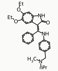 CCCN(C)Cc1ccc(N/C(=C2\C(=O)Nc3cc(OCC)c(OCC)cc32)c2ccccc2)cc1